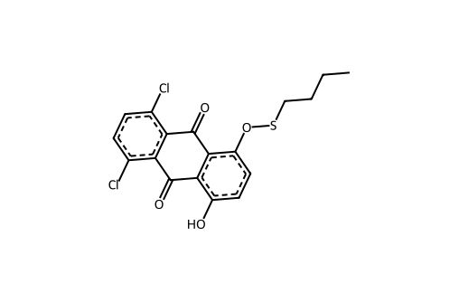 CCCCSOc1ccc(O)c2c1C(=O)c1c(Cl)ccc(Cl)c1C2=O